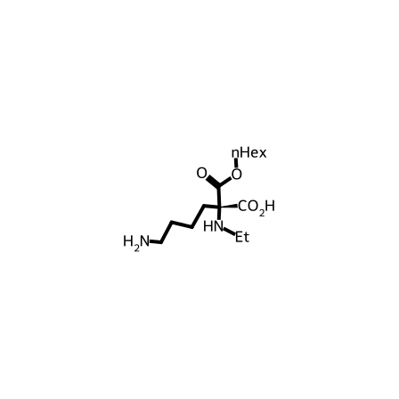 CCCCCCOC(=O)[C@@](CCCCN)(NCC)C(=O)O